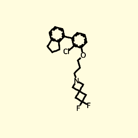 FC1(F)CC2(CN(CCCOc3cccc(-c4cccc5c4CCC5)c3Cl)C2)C1